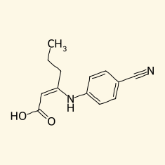 CCC/C(=C/C(=O)O)Nc1ccc(C#N)cc1